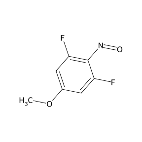 COc1cc(F)c(N=O)c(F)c1